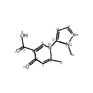 Cc1cc(=O)c(C(=O)O)cn1-c1ccnn1C